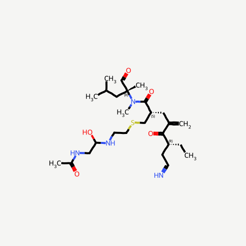 C=C(C[C@H](CSCCNC(O)CNC(C)=O)C(=O)N(C)[C@@](C)(C=O)CC(C)C)C(=O)[C@H](CC)CC=N